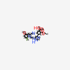 CCOC(=O)c1cc(-c2cc(NCCn3c(C#N)cc4c(OC)ccc(F)c43)ncn2)ccc1C(=O)O